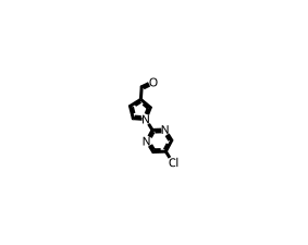 O=Cc1ccn(-c2ncc(Cl)cn2)c1